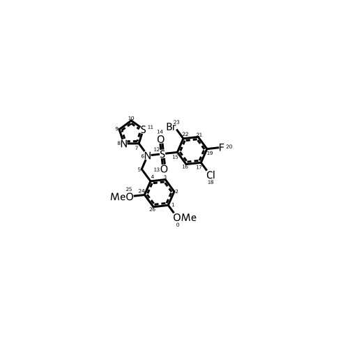 COc1ccc(CN(c2nccs2)S(=O)(=O)c2cc(Cl)c(F)cc2Br)c(OC)c1